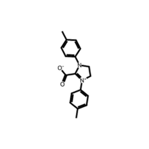 Cc1ccc(N2CC[N+](c3ccc(C)cc3)=C2C(=O)[O-])cc1